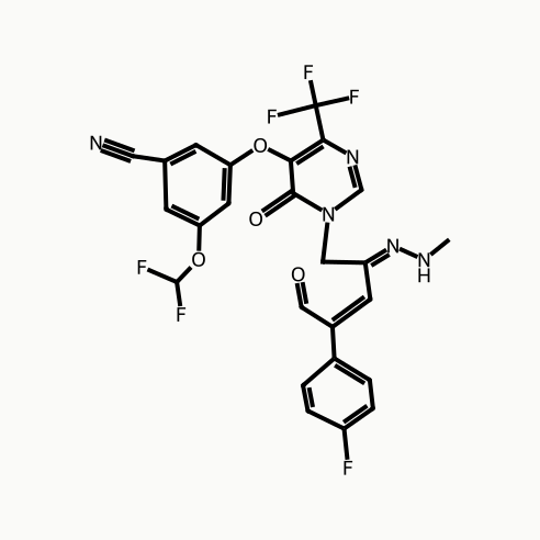 CN/N=C(\C=C(/C=O)c1ccc(F)cc1)Cn1cnc(C(F)(F)F)c(Oc2cc(C#N)cc(OC(F)F)c2)c1=O